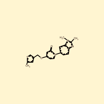 Cc1cc(COc2ccn(-c3ccc4nc(C)n(C)c4c3)c(=O)c2)cs1